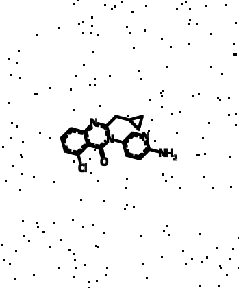 Nc1ccc(-n2c(CC3CC3)nc3cccc(Cl)c3c2=O)cn1